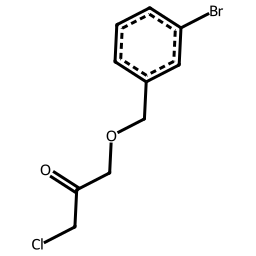 O=C(CCl)COCc1cccc(Br)c1